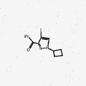 CC(C)C(=O)c1nn(C2CCC2)cc1I